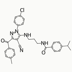 Cc1ccc(C(=O)c2nn(-c3ccc(Cl)cc3)c(NCCCNC(=O)c3ccc(C(C)C)cc3)c2C#N)cc1